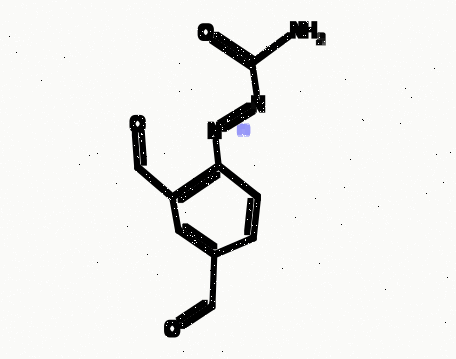 NC(=O)/N=N/c1ccc(C=O)cc1C=O